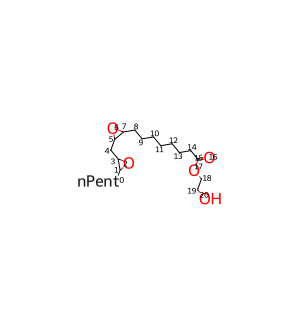 CCCCCC1OC1CC1OC1CCCCCCCC(=O)OCCO